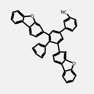 N#Cc1cccc(-c2cc(-c3ccc4c(c3)oc3ccccc34)c(-c3ccccc3)c(-c3ccc4c(c3)oc3ccccc34)c2)c1